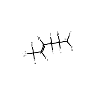 FC(=C(F)C(F)(F)C(F)(F)C(F)F)C(F)(F)C(F)(F)F